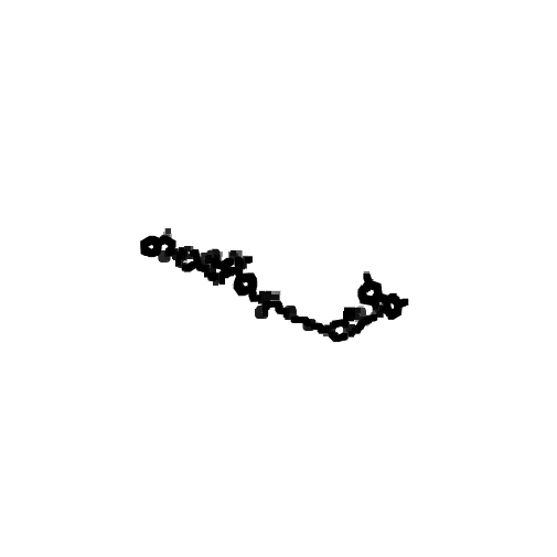 Cc1ccc2c(c1)c1cc(C)ccc1n2C[C@H](O)CN1CCN(CCOCCOCCC(=O)NCc2ccc(-c3c4ncn(CC5(O)CCN(C(=O)C[C@@H](C)c6ccccc6)CC5)c(=O)c4nn3C)cc2)CC1